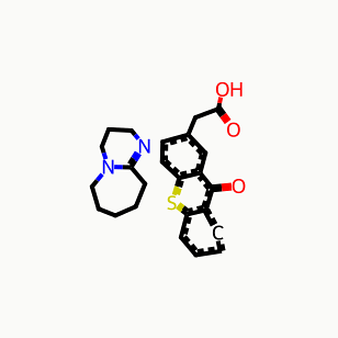 C1CCC2=NCCCN2CC1.O=C(O)Cc1ccc2sc3ccccc3c(=O)c2c1